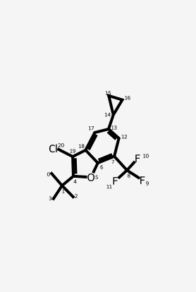 CC(C)(C)c1oc2c(C(F)(F)F)cc(C3CC3)cc2c1Cl